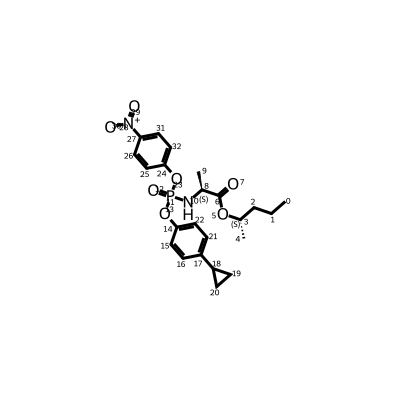 CCC[C@H](C)OC(=O)[C@H](C)NP(=O)(Oc1ccc(C2CC2)cc1)Oc1ccc([N+](=O)[O-])cc1